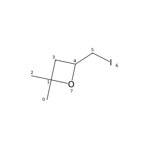 CC1(C)CC(CI)O1